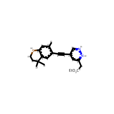 CCOC(=O)Cc1cc(C#Cc2cc3c(cc2C)SCCC3(C)C)cnn1